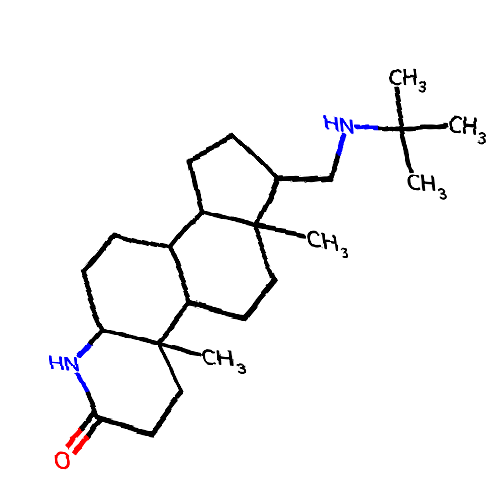 CC(C)(C)NCC1CCC2C3CCC4NC(=O)CCC4(C)C3CCC12C